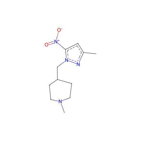 Cc1cc([N+](=O)[O-])n(CC2CCN(C)CC2)n1